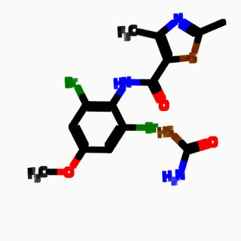 Cc1nc(C(F)(F)F)c(C(=O)Nc2c(Br)cc(OC(F)(F)F)cc2Br)s1.NC(=O)S